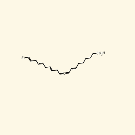 CCC=CCC=CCC=CCC=C=CC=CCCCCCC(=O)O